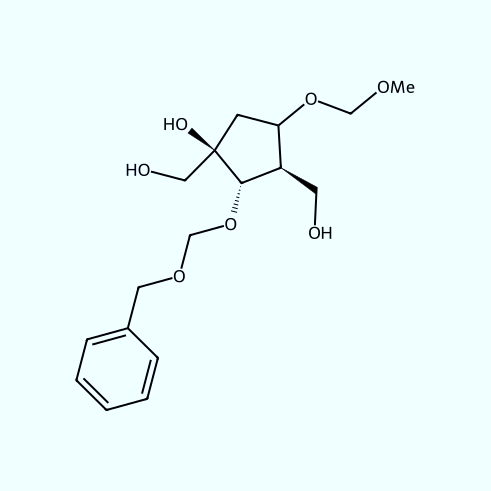 COCOC1C[C@@](O)(CO)[C@@H](OCOCc2ccccc2)[C@@H]1CO